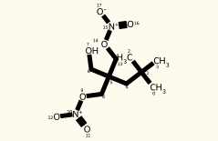 CC(C)(C)CC(CO)(CO[N+](=O)[O-])CO[N+](=O)[O-]